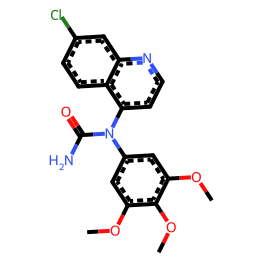 COc1cc(N(C(N)=O)c2ccnc3cc(Cl)ccc23)cc(OC)c1OC